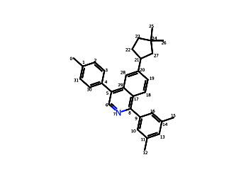 Cc1ccc(-c2cnc(-c3cc(C)cc(C)c3)c3ccc(C4CCC(C)(C)C4)cc23)cc1